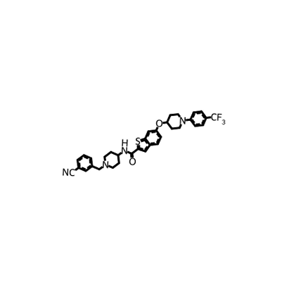 N#Cc1cccc(CN2CCC(NC(=O)c3cc4ccc(OC5CCN(c6ccc(C(F)(F)F)cc6)CC5)cc4s3)CC2)c1